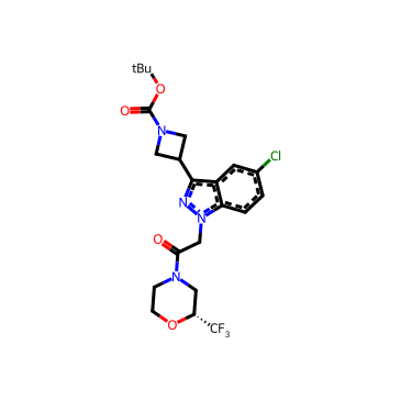 CC(C)(C)OC(=O)N1CC(c2nn(CC(=O)N3CCO[C@@H](C(F)(F)F)C3)c3ccc(Cl)cc23)C1